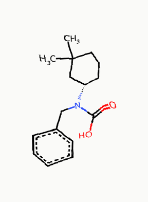 CC1(C)CCC[C@H](N(Cc2ccccc2)C(=O)O)C1